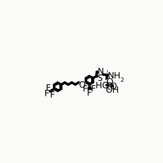 C[C@](N)(COP(=O)(O)O)C1=NCC(c2ccc(OCCCCCc3ccc(C(F)(F)F)cc3)c(C(F)(F)F)c2)S1